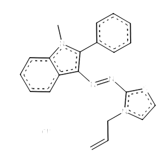 C=CC[n+]1ccsc1/N=N/c1c(-c2ccccc2)n(C)c2ccccc12.[Cl-]